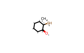 C.O=C1CCCCC1S